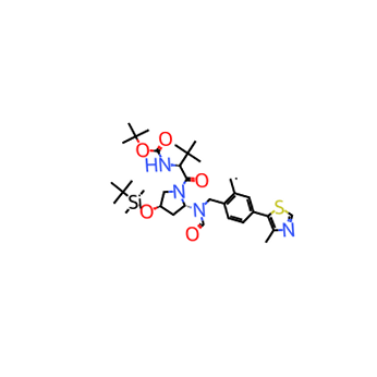 [CH2]c1cc(-c2scnc2C)ccc1CN(C=O)[C@@H]1C[C@@H](O[Si](C)(C)C(C)(C)C)CN1C(=O)[C@@H](NC(=O)OC(C)(C)C)C(C)(C)C